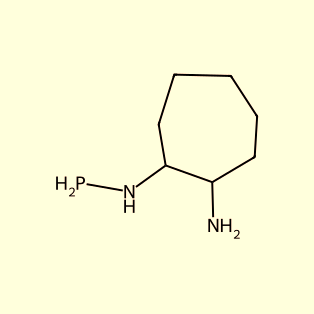 NC1CCCCCC1NP